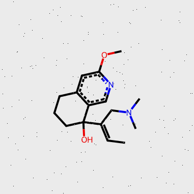 CC=C(CN(C)C)C1(O)CCCc2cc(OC)ncc21